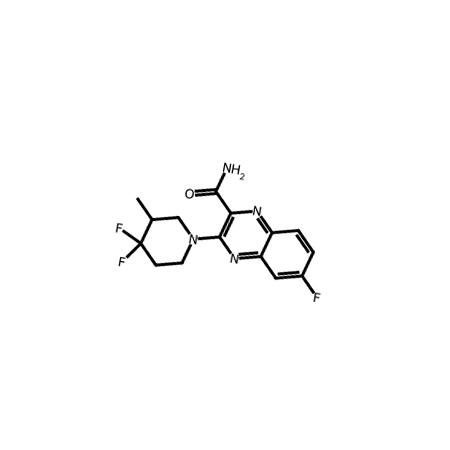 CC1CN(c2nc3cc(F)ccc3nc2C(N)=O)CCC1(F)F